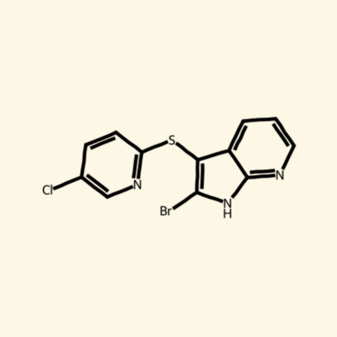 Clc1ccc(Sc2c(Br)[nH]c3ncccc23)nc1